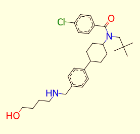 CC(C)(C)CN(C(=O)c1ccc(Cl)cc1)C1CCC(c2ccc(CNCCCCO)cc2)CC1